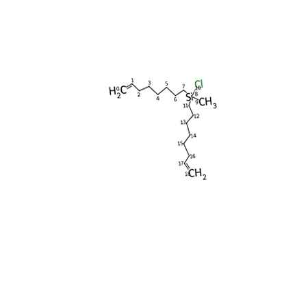 C=CCCCCCC[Si](C)(Cl)CCCCCCC=C